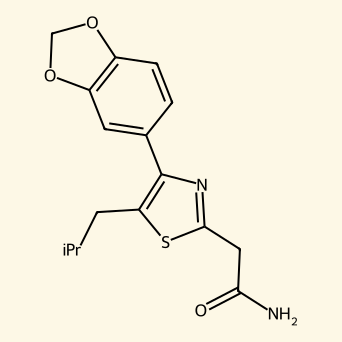 CC(C)Cc1sc(CC(N)=O)nc1-c1ccc2c(c1)OCO2